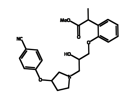 COC(=O)C(C)c1ccccc1OCC(O)CN1CCC(Oc2ccc(C#N)cc2)C1